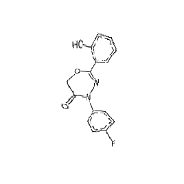 O=C1COC(c2ccccc2O)=NN1c1ccc(F)cc1